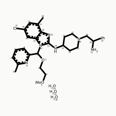 COCCOC(c1cccc(C)n1)n1c(NC2CCN(CC(N)C(C)C)CC2)nc2c(C)cc(Cl)cc21.O.O.O